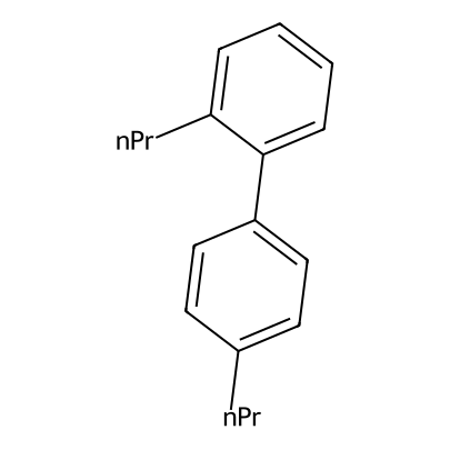 CCCc1ccc(-c2ccccc2CCC)cc1